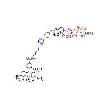 COP(=O)(O)CP(=O)(O)OC[C@H]1O[C@@H](n2cc/c(=N/OCc3ccc(-c4cn(CCCCCCNC(=O)c5ccc(-c6c7ccc(=N)c(S(=O)(=O)O)c-7oc7c(S(=O)(=O)O)c(N)ccc67)c(C(=O)O)c5)nn4)cc3)n(C)c2=O)C(O)C1O